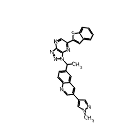 CC(c1ccc2ncc(-c3cnn(C)c3)cc2c1)n1nnc2ncc(-c3cc4ccccc4s3)nc21